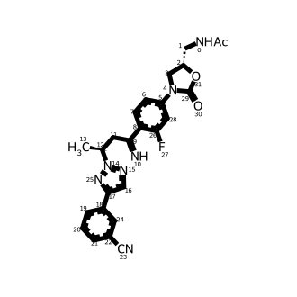 CC(=O)NC[C@H]1CN(c2ccc(C(=N)C[C@H](C)n3ncc(-c4cccc(C#N)c4)n3)c(F)c2)C(=O)O1